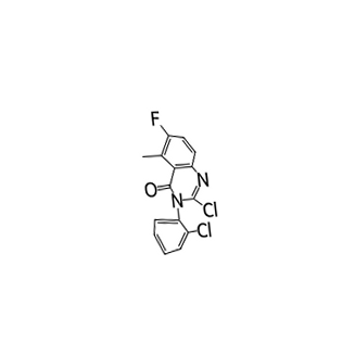 Cc1c(F)ccc2nc(Cl)n(-c3ccccc3Cl)c(=O)c12